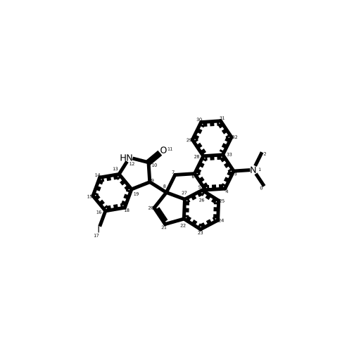 CN(C)c1ccc(CC2(C3C(=O)Nc4ccc(I)cc43)C=Cc3ccccc32)c2ccccc12